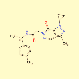 Cc1ccc([C@H](C)NC(=O)Cn2ncc3c(C)nn(C4CC4)c3c2=O)cc1